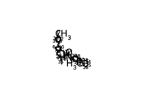 Cc1ccc(-c2ccc3c(c2)C=C(C(=O)Nc2ccc(C[N+]4(C)CCCCC4)cc2)CCS3)cc1.[I-]